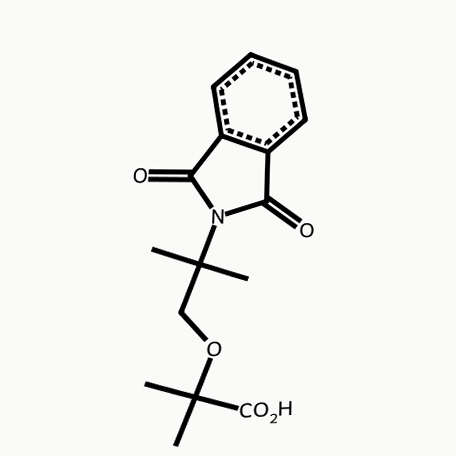 CC(C)(OCC(C)(C)N1C(=O)c2ccccc2C1=O)C(=O)O